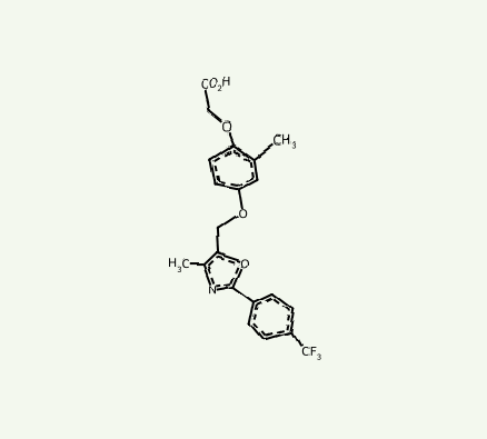 Cc1cc(OCc2oc(-c3ccc(C(F)(F)F)cc3)nc2C)ccc1OCC(=O)O